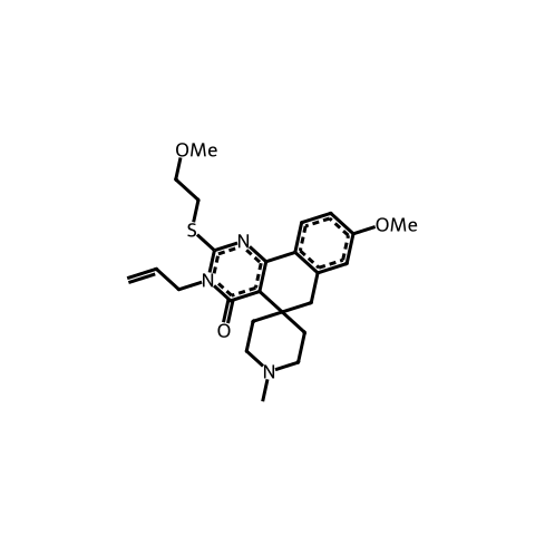 C=CCn1c(SCCOC)nc2c(c1=O)C1(CCN(C)CC1)Cc1cc(OC)ccc1-2